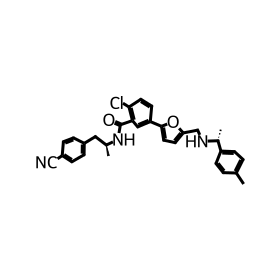 Cc1ccc([C@@H](C)NCc2ccc(-c3ccc(Cl)c(C(=O)N[C@@H](C)Cc4ccc(C#N)cc4)c3)o2)cc1